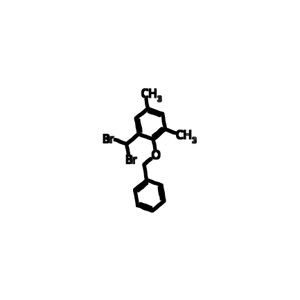 Cc1cc(C)c(OCc2ccccc2)c(C(Br)Br)c1